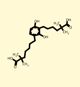 CC(C)(CCCCCc1ccc(O)c(CCCCC(C)(C)C(=O)O)c1O)C(=O)O